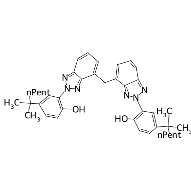 CCCCCC(C)(C)c1ccc(O)c(-n2nc3cccc(Cc4cccc5nn(-c6cc(C(C)(C)CCCCC)ccc6O)nc45)c3n2)c1